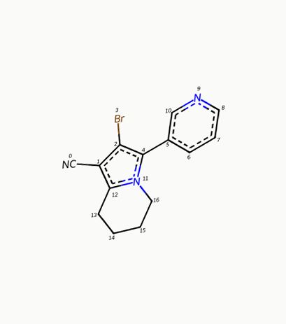 N#Cc1c(Br)c(-c2cccnc2)n2c1CCCC2